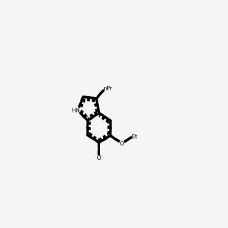 CCCc1c[nH]c2cc(Cl)c(OCC)cc12